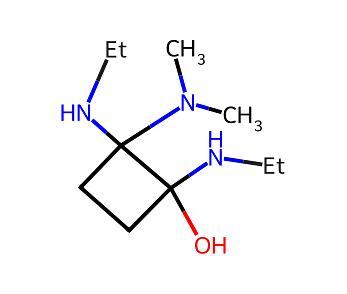 CCNC1(O)CCC1(NCC)N(C)C